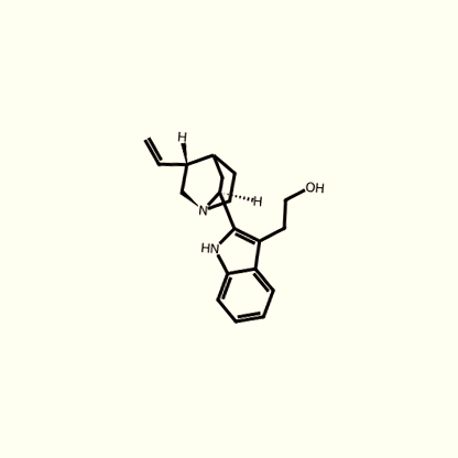 C=C[C@H]1C[N@]2CCC1C[C@H]2c1[nH]c2ccccc2c1CCO